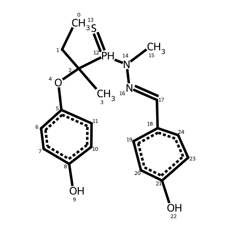 CCC(C)(Oc1ccc(O)cc1)[PH](=S)N(C)N=Cc1ccc(O)cc1